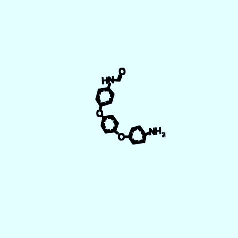 Nc1ccc(Oc2ccc(Oc3ccc(NC=O)cc3)cc2)cc1